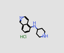 Cl.c1cc(NC2CCNCC2)c2ccncc2c1